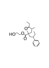 CCC(=O)C(C)CC(C)(CC(CC)c1ccccc1)C(=O)OCCO